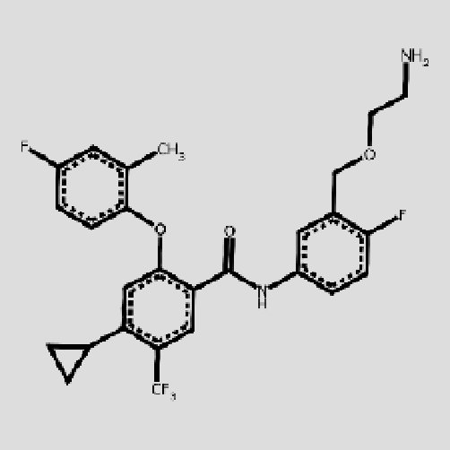 Cc1cc(F)ccc1Oc1cc(C2CC2)c(C(F)(F)F)cc1C(=O)Nc1ccc(F)c(COCCN)c1